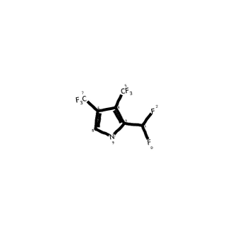 FC(F)C1=C(C(F)(F)F)C(C(F)(F)F)=[C][N]1